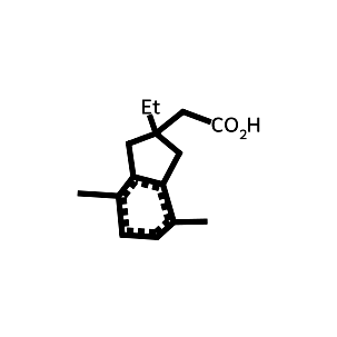 CCC1(CC(=O)O)Cc2c(C)ccc(C)c2C1